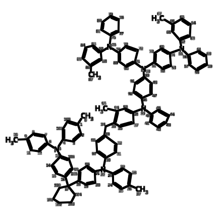 Cc1ccc(N(c2ccc(C)cc2)c2ccc(C3(c4ccc(N(c5ccc(C)cc5)c5ccc(Cc6ccc(N(c7ccccc7)c7ccc(N(c8ccc(N(c9ccccc9)c9cccc(C)c9)cc8)c8ccc(N(c9ccccc9)c9cccc(C)c9)cc8)cc7)cc6C)cc5)cc4)CCCCC3)cc2)cc1